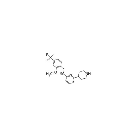 COc1cc(C(F)(F)F)ccc1C[Se]c1cccc(C2CCNCC2)n1